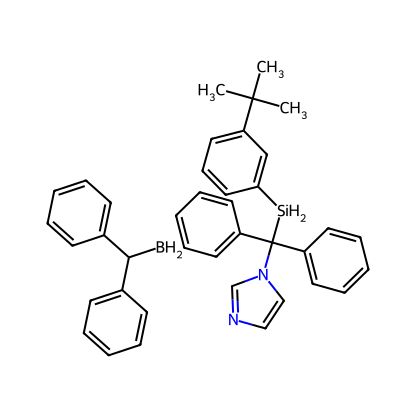 BC(c1ccccc1)c1ccccc1.CC(C)(C)c1cccc([SiH2]C(c2ccccc2)(c2ccccc2)n2ccnc2)c1